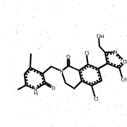 Cc1cc(C)c(CN2CCc3c(Cl)cc(-c4c(CO)noc4C(F)(F)F)c(Cl)c3C2=O)c(=O)[nH]1